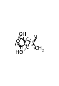 C=CC.C=CC#N.O=C(O)/C=C\C(=O)O